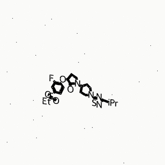 CCS(=O)(=O)c1ccc(OC2CCN(C3CCN(c4nc(C(C)C)ns4)CC3)C2=O)c(F)c1